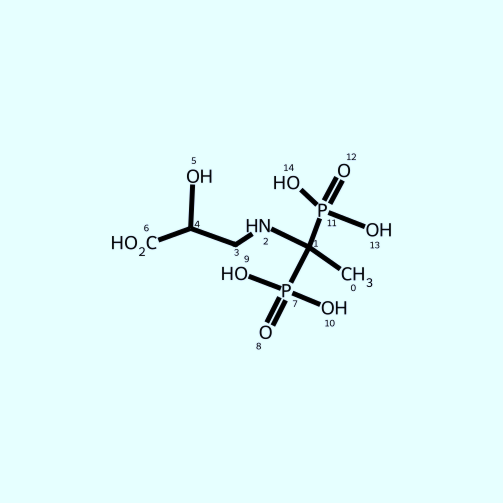 CC(NCC(O)C(=O)O)(P(=O)(O)O)P(=O)(O)O